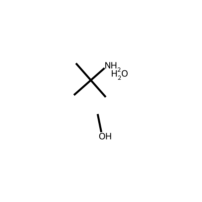 CC(C)(C)N.CO.O